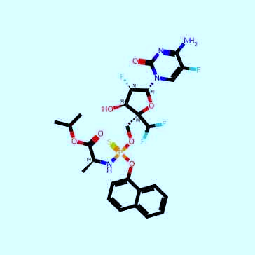 CC(C)OC(=O)[C@H](C)NP(=S)(OC[C@@]1(C(F)F)O[C@@H](n2cc(F)c(N)nc2=O)[C@@H](F)[C@@H]1O)Oc1cccc2ccccc12